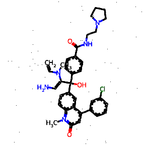 C=CN(C)/C(=C\N)C(O)(c1ccc(C(=O)NCCN2CCCC2)cc1)c1ccc2c(c1)c(-c1cccc(Cl)c1)cc(=O)n2C